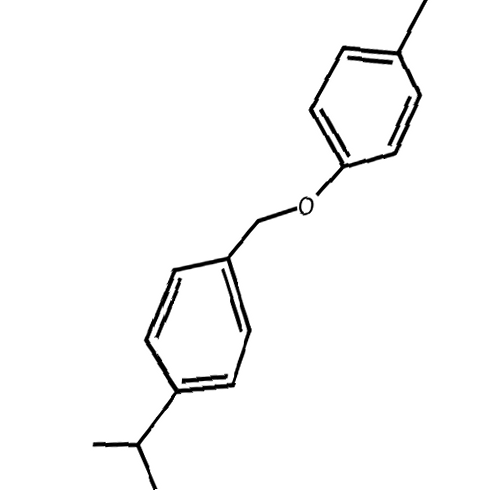 Cc1ccc(OCc2ccc(C(C)C)cc2)cc1